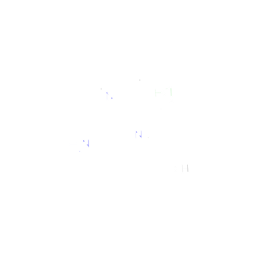 CCN1CCN=C1N.Cl